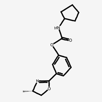 C[C@H]1COC(c2cccc(OC(=O)NC3CCCC3)c2)=N1